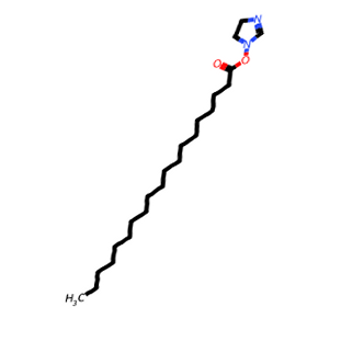 CCCCCCCCCCCCCCCCCCC(=O)ON1C=NCC1